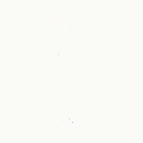 NCC#CCCO